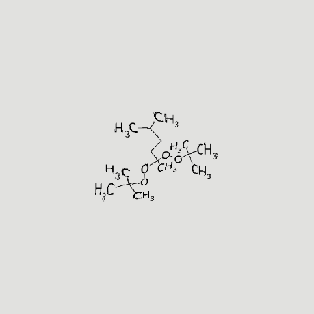 CC(C)CCC(C)(OOC(C)(C)C)OOC(C)(C)C